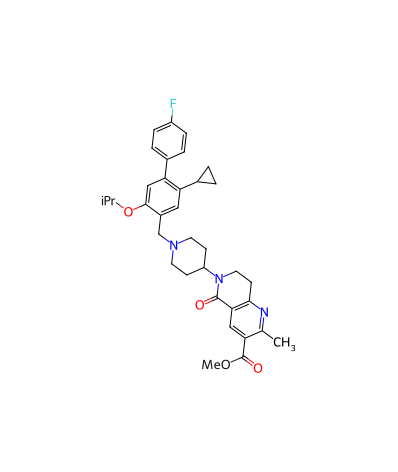 COC(=O)c1cc2c(nc1C)CCN(C1CCN(Cc3cc(C4CC4)c(-c4ccc(F)cc4)cc3OC(C)C)CC1)C2=O